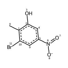 Cc1c(O)cc([N+](=O)[O-])cc1Br